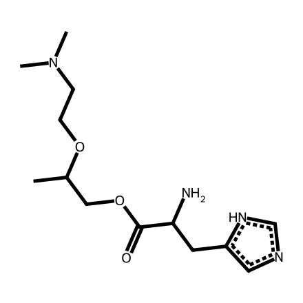 CC(COC(=O)C(N)Cc1cnc[nH]1)OCCN(C)C